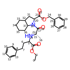 CCOC(=O)C(CCc1ccccc1)N[C@@H](C)C(=O)N1C(C(=O)OCc2ccccc2)CC2CCCCC21